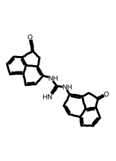 N=C(Nc1ccc2cccc3c2c1CC3=O)Nc1ccc2cccc3c2c1CC3=O